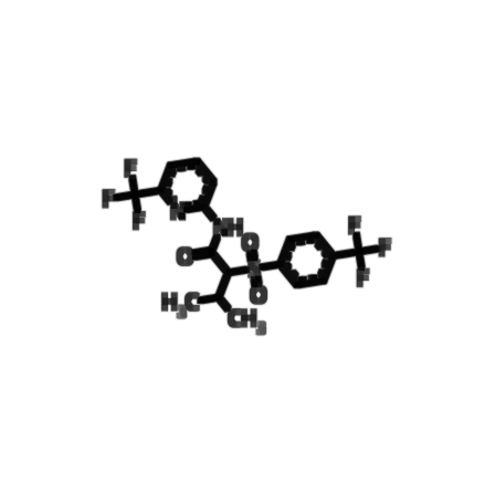 CC(C)C(C(=O)Nc1cccc(C(F)(F)F)n1)S(=O)(=O)c1ccc(C(F)(F)F)cc1